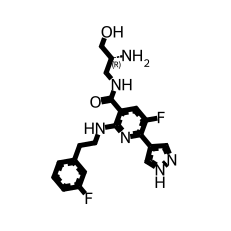 N[C@@H](CO)CNC(=O)c1cc(F)c(-c2cn[nH]c2)nc1NCCc1cccc(F)c1